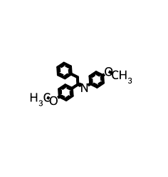 COc1ccc(/N=C(\Cc2ccccc2)c2ccc(OC)cc2)cc1